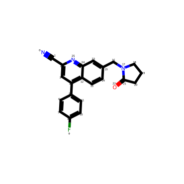 N#Cc1cc(-c2ccc(F)cc2)c2ccc(CN3CCCC3=O)cc2n1